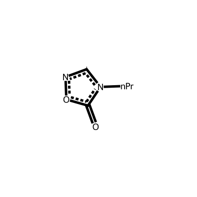 CCCn1[c]noc1=O